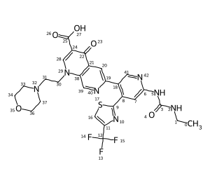 CCNC(=O)Nc1cc(-c2nc(C(F)(F)F)cs2)c(-c2cc3c(=O)c(C(=O)O)cn(CCN4CCOCC4)c3cn2)cn1